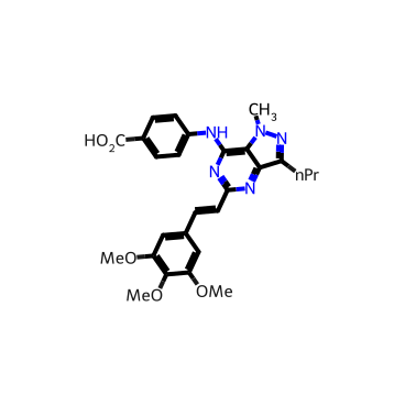 CCCc1nn(C)c2c(Nc3ccc(C(=O)O)cc3)nc(C=Cc3cc(OC)c(OC)c(OC)c3)nc12